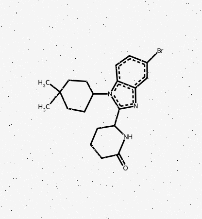 CC1(C)CCC(n2c(C3CCCC(=O)N3)nc3cc(Br)ccc32)CC1